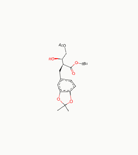 CC(=O)OC[C@H](O)[C@H](Cc1ccc2c(c1)OC(C)(C)O2)C(=O)OC(C)(C)C